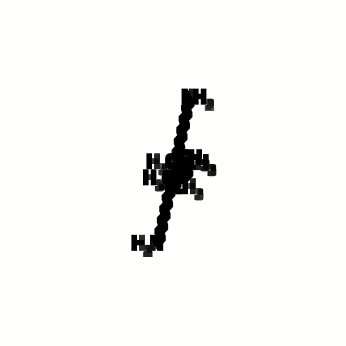 Cc1ccc([Si](C)(C)CCCCCCCCCCN)cc1[Si](C)(C)CCCCCCCCCCN